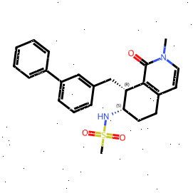 Cn1ccc2c(c1=O)[C@@H](Cc1cccc(-c3ccccc3)c1)[C@@H](NS(C)(=O)=O)CC2